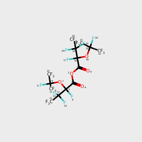 O=C(OC(=O)C(F)(OC(F)(C(F)(F)F)C(F)(F)F)C(F)(F)C(F)(F)F)C(F)(OC(F)(C(F)(F)F)C(F)(F)F)C(F)(F)C(F)(F)F